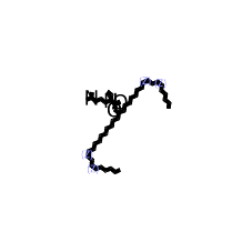 CCCCC/C=C\C/C=C\CCCCCCCCCC(CCCCCCC/C=C\C/C=C\CCCCC)OC(=O)N(CC)CCCN(C)C